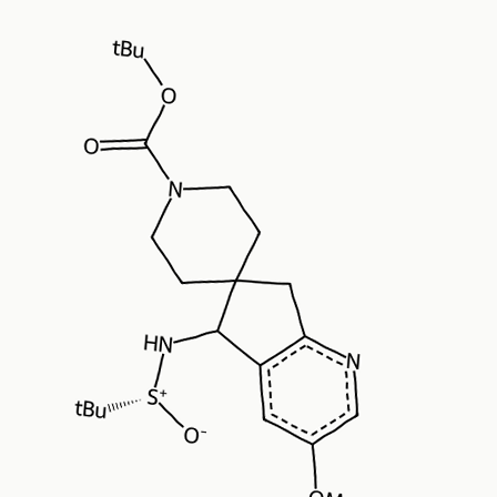 COc1cnc2c(c1)C(N[S@+]([O-])C(C)(C)C)C1(CCN(C(=O)OC(C)(C)C)CC1)C2